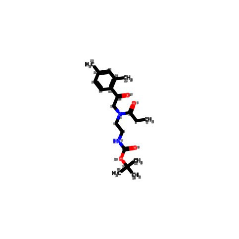 CCC(=O)N(CCNC(=O)OC(C)(C)C)CC(=O)c1ccc(C)cc1C